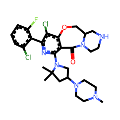 CN1CCN(C2CN(c3nc(-c4c(F)cccc4Cl)c(Cl)c4c3C(=O)N3CCNCC3CO4)C(C)(C)C2)CC1